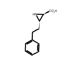 O=C(O)[C@@H]1N[C@H]1CCc1ccccc1